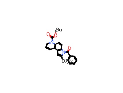 CCOC(=O)c1cc2c3c(ccc2n1C(=O)c1ccccc1)N(C(=O)OC(C)(C)C)CC=C3